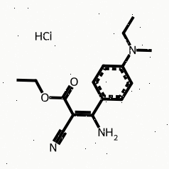 CCOC(=O)C(C#N)=C(N)c1ccc(N(C)CC)cc1.Cl